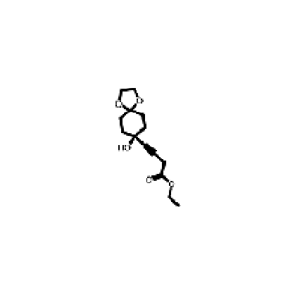 CCOC(=O)CC#CC1(O)CCC2(CC1)OCCO2